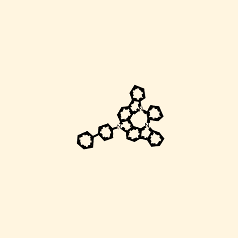 c1ccc(-c2ccc(-n3c4ccc5c6ccccc6n6c7ccccc7n7c8ccccc8c8ccc3c(c4c56)c87)cc2)cc1